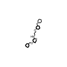 c1ccc(COc2ccnc(NCCCOc3cccc(CN4CCCCC4)c3)c2)cc1